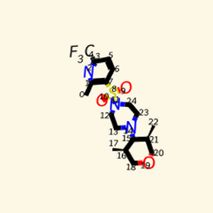 Cc1nc(C(F)(F)F)ccc1S(=O)(=O)N1CCN(C2[C@H](C)COC[C@@H]2C)CC1